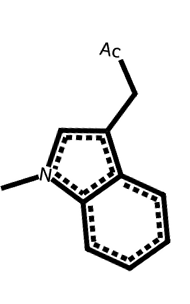 CC(=O)Cc1cn(C)c2ccccc12